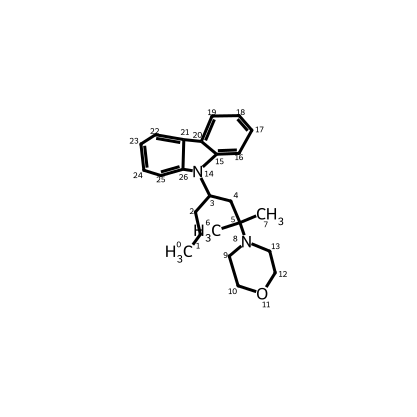 CCCC(CC(C)(C)N1CCOCC1)n1c2ccccc2c2ccccc21